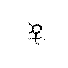 Cc1c(F)ncnc1C(C)(C)C